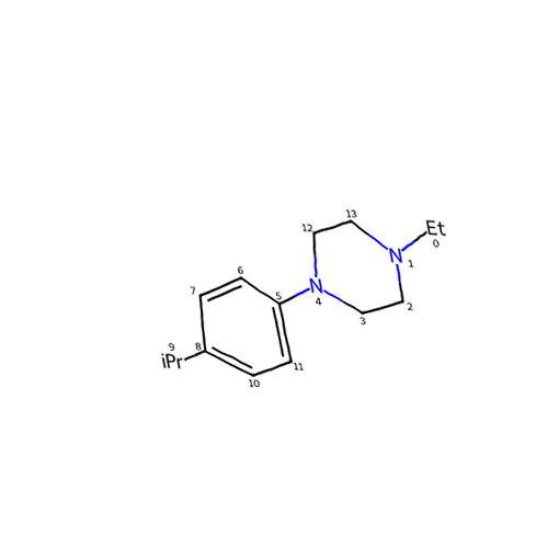 CCN1CCN(c2ccc(C(C)C)cc2)CC1